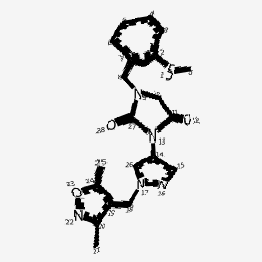 CSc1ccccc1CN1CC(=O)N(c2cnn(Cc3c(C)noc3C)c2)C1=O